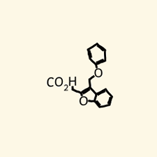 O=C(O)Cc1oc2ccccc2c1COc1ccccc1